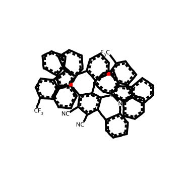 N#Cc1c(C#N)c(-n2c3ccccc3c3ccc(C(F)(F)F)cc32)c(-c2ccccc2-n2c3ccccc3c3ccccc32)c(-n2c3ccccc3c3ccc(C(F)(F)F)cc32)c1-c1ccccc1-n1c2ccccc2c2ccccc21